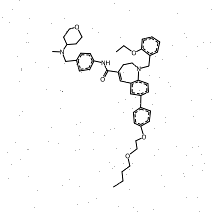 CCCCOCCOc1ccc(-c2ccc3c(c2)C=C(C(=O)Nc2ccc(CN(C)C4CCOCC4)cc2)CCN3Cc2ccccc2OCC)cc1